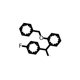 [CH2]C(c1ccc(F)cc1)c1ccccc1OCc1ccccc1